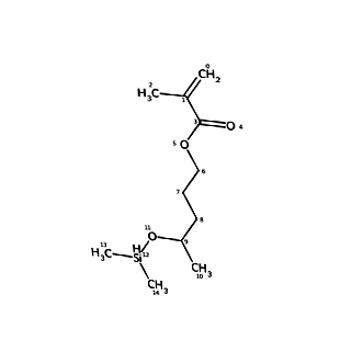 C=C(C)C(=O)OCCCC(C)O[SiH](C)C